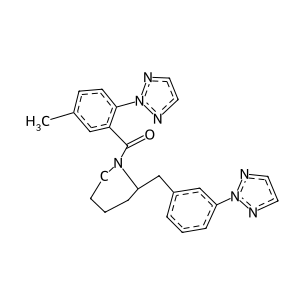 Cc1ccc(-n2nccn2)c(C(=O)N2CCCCC2Cc2cccc(-n3nccn3)c2)c1